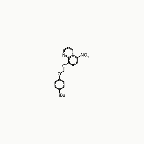 CCC(C)c1ccc(OCOc2ccc([N+](=O)[O-])c3cccnc23)cc1